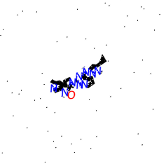 Cc1ccc(N(C)C(=O)[C@]2(C)CCCN2c2nc(N(C)c3cc(C4CC4)n(C)n3)c3cccn3n2)cn1